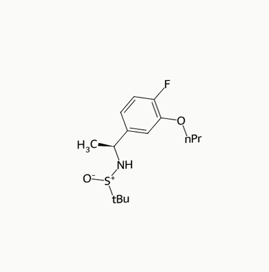 CCCOc1cc([C@H](C)N[S+]([O-])C(C)(C)C)ccc1F